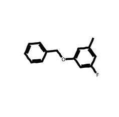 Cc1cc(F)cc(OCc2ccccc2)c1